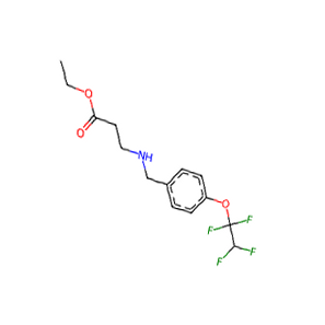 CCOC(=O)CCNCc1ccc(OC(F)(F)C(F)F)cc1